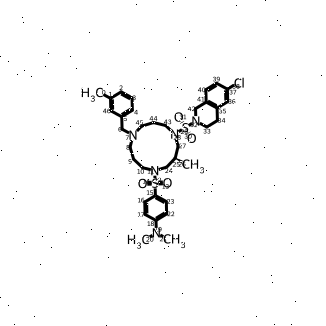 Cc1cccc(CN2CCCN(S(=O)(=O)c3ccc(N(C)C)cc3)C[C@H](C)CN(S(=O)(=O)N3CCc4cc(Cl)ccc4C3)CCC2)c1